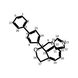 c1ccc(-c2ccc(C3(Cn4ccnc4)OCCc4ccccc43)cc2)cc1